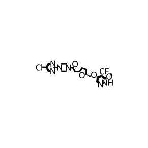 O=C(CC1CC[C@@H](COc2cn[nH]c(=O)c2C(F)(F)F)O1)N1CCN(c2ncc(Cl)cn2)CC1